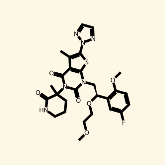 COCCO[C@@H](Cn1c(=O)n(C2(C)CCCNC2=O)c(=O)c2c(C)c(-n3nccn3)sc21)c1cc(F)ccc1OC